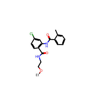 CCOCCNC(=O)c1ccc(Cl)cc1NC(=O)c1ccccc1C